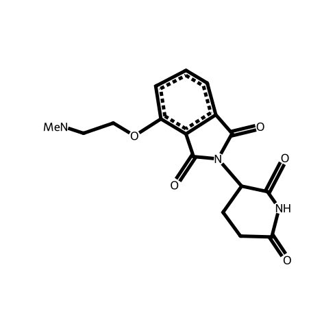 CNCCOc1cccc2c1C(=O)N(C1CCC(=O)NC1=O)C2=O